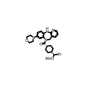 COC(C(C)C)[C@H]1CC[C@H](C(=O)N2Cc3cccnc3Nc3ccc(N4CCOCC4)cc32)CC1